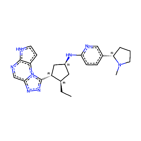 CC[C@@H]1C[C@H](Nc2ccc([C@@H]3CCCN3C)cn2)C[C@H]1c1nnc2cnc3[nH]ccc3n12